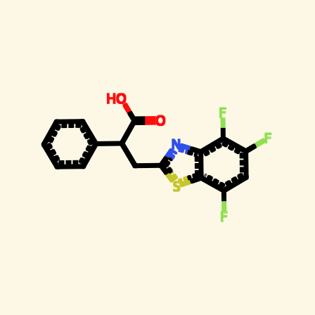 O=C(O)C(Cc1nc2c(F)c(F)cc(F)c2s1)c1ccccc1